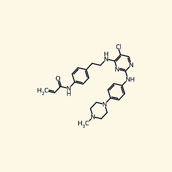 C=CC(=O)Nc1ccc(CCNc2nc(Nc3ccc(N4CCN(C)CC4)cc3)ncc2Cl)cc1